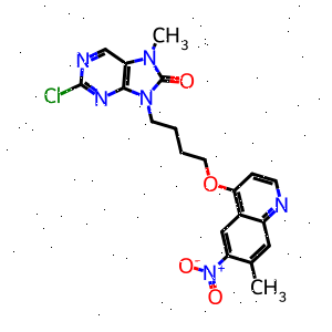 Cc1cc2nccc(OCCCCn3c(=O)n(C)c4cnc(Cl)nc43)c2cc1[N+](=O)[O-]